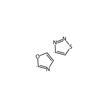 [c]1csnn1.[c]1ncco1